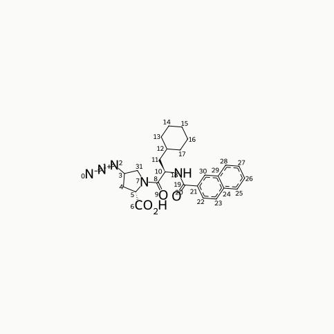 [N-]=[N+]=NC1C[C@@H](C(=O)O)N(C(=O)[C@@H](CC2CCCCC2)NC(=O)c2ccc3ccccc3c2)C1